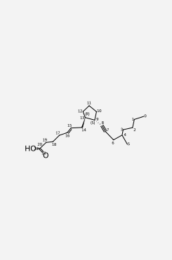 CCCCC(C)CC#C[C@H]1CCC[C@@H]1CC=CCCCC(=O)O